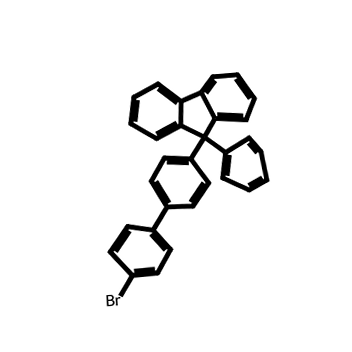 Brc1ccc(-c2ccc(C3(c4ccccc4)c4ccccc4-c4ccccc43)cc2)cc1